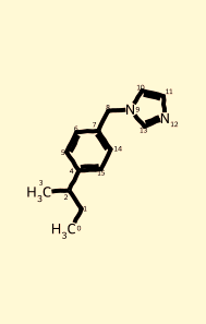 CCC(C)c1ccc(Cn2ccnc2)cc1